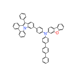 c1ccc(-c2ccc(-c3ccc(N(c4ccc(-c5ccc6c(-c7ccccc7)c7c8ccccc8c8ccccc8n7c6c5)cc4)c4ccc5c(c4)oc4ccccc45)cc3)cc2)cc1